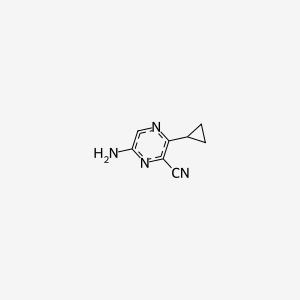 N#Cc1nc(N)cnc1C1CC1